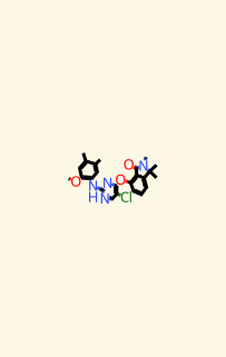 COc1cc(C)c(C)cc1Nc1ncc(Cl)c(Oc2cccc3c2C(=O)N(C)C3(C)C)n1